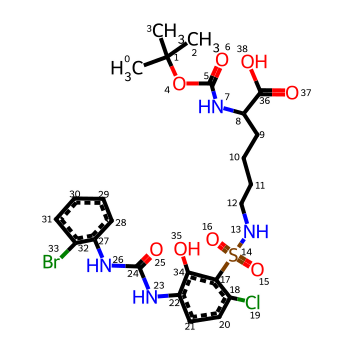 CC(C)(C)OC(=O)NC(CCCCNS(=O)(=O)c1c(Cl)ccc(NC(=O)Nc2ccccc2Br)c1O)C(=O)O